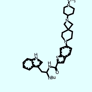 CCCCC(Cc1c[nH]c2ccccc12)NC(=O)c1cc2ccc(N3CCC4(CC3)CN(C3CCN(C)CC3)C4)cc2s1